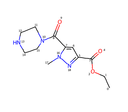 CCOC(=O)c1cc(C(=O)N2CCNCC2)n(C)n1